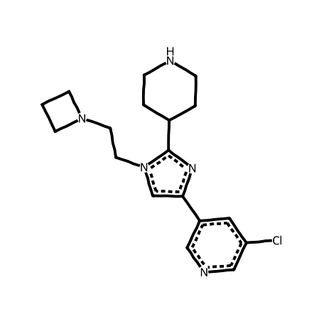 Clc1cncc(-c2cn(CCN3CCC3)c(C3CCNCC3)n2)c1